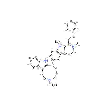 CCOC(=O)N1CCCC(c2ccc3c(c2)C2CCN(CC)C(CCc4ccccc4)C2N3CC)c2[nH]c3ccccc3c2CC1